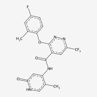 Cc1c[nH]c(=O)cc1NC(=O)c1cc(C(F)(F)F)nnc1Oc1ccc(F)cc1C